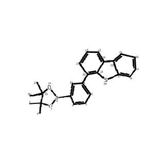 CC1(C)OB(c2cccc(-c3cccc4c3sc3ccccc34)c2)OC1(C)C